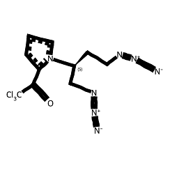 [N-]=[N+]=NCC[C@@H](CN=[N+]=[N-])n1cccc1C(=O)C(Cl)(Cl)Cl